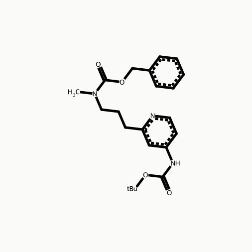 CN(CCCc1cc(NC(=O)OC(C)(C)C)ccn1)C(=O)OCc1ccccc1